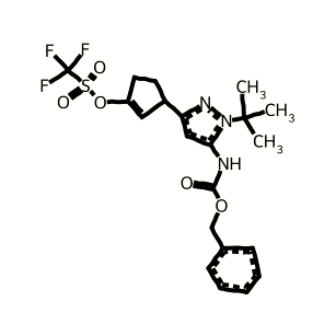 CC(C)(C)n1nc(C2C=C(OS(=O)(=O)C(F)(F)F)CC2)cc1NC(=O)OCc1ccccc1